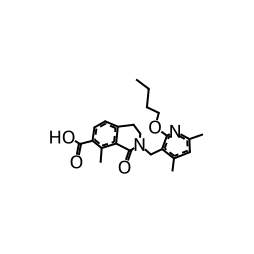 CCCCOc1nc(C)cc(C)c1CN1CCc2ccc(C(=O)O)c(C)c2C1=O